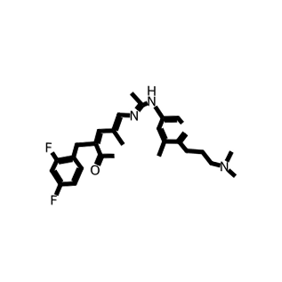 C=C(CCCN(C)C)/C(C)=C\C(=C/C)N/C(C)=N/C=C(C)/C=C(/Cc1ccc(F)cc1F)C(C)=O